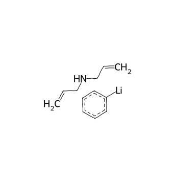 C=CCNCC=C.[Li][c]1ccccc1